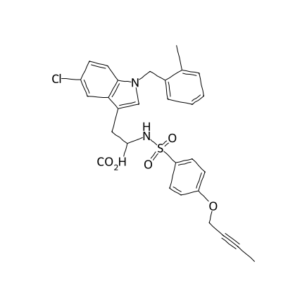 CC#CCOc1ccc(S(=O)(=O)NC(Cc2cn(Cc3ccccc3C)c3ccc(Cl)cc23)C(=O)O)cc1